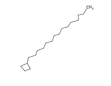 CCCCCCCCCCCCCCCC1CCC1